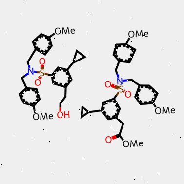 COC(=O)Cc1cc(C2CC2)cc(S(=O)(=O)N(Cc2ccc(OC)cc2)Cc2ccc(OC)cc2)c1.COc1ccc(CN(Cc2ccc(OC)cc2)S(=O)(=O)c2cc(CCO)cc(C3CC3)c2)cc1